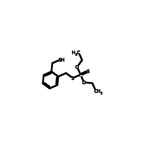 CCOP(=S)(OCC)SCc1ccccc1CS